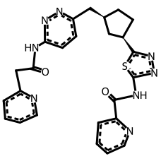 O=C(Cc1ccccn1)Nc1ccc(C[C@H]2CC[C@@H](c3nnc(NC(=O)c4ccccn4)s3)C2)nn1